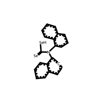 [Se]=C([SeH])N(c1cccc2ccccc12)c1cccc2ccccc12